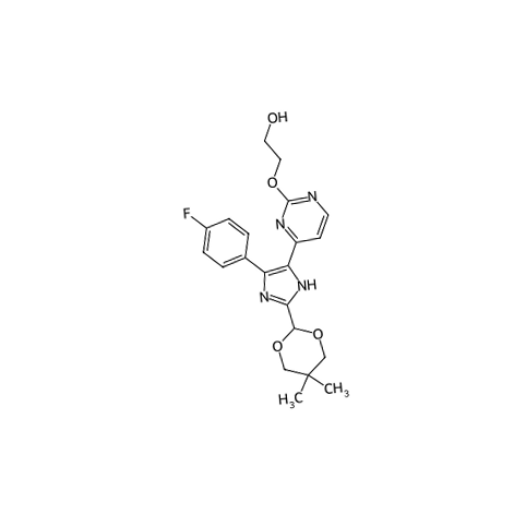 CC1(C)COC(c2nc(-c3ccc(F)cc3)c(-c3ccnc(OCCO)n3)[nH]2)OC1